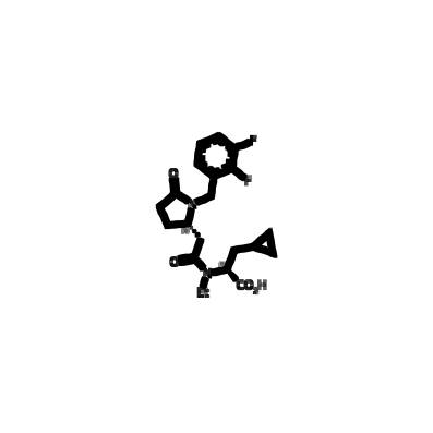 CCN(C(=O)C[C@@H]1CCC(=O)N1Cc1cccc(F)c1F)[C@@H](CC1CC1)C(=O)O